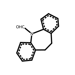 O=CN1c2ccccc2CCc2ccccc21